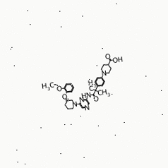 CCOc1ccccc1O[C@@H]1CCCN(c2cncc(NC(=O)C(C)(C)c3ccc(N4CCC(C(=O)O)CC4)cc3)n2)C1